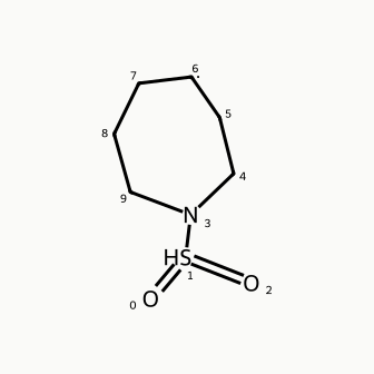 O=[SH](=O)N1CC[CH]CCC1